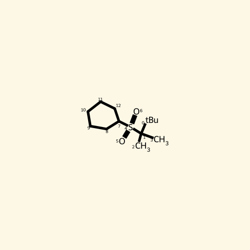 CC(C)(C)C(C)(C)S(=O)(=O)C1CCCCC1